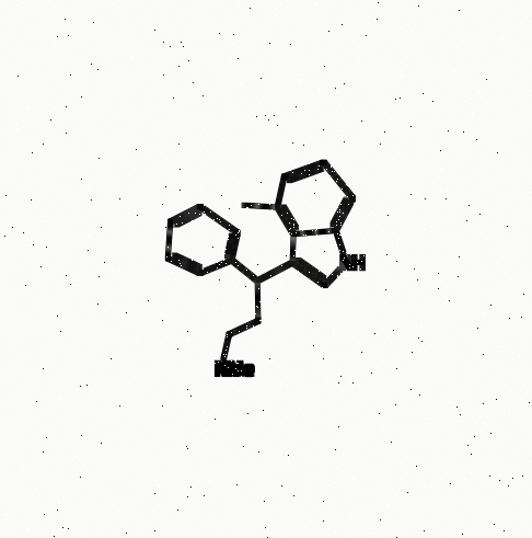 CNCCC(c1ccccc1)c1c[nH]c2cccc(C)c12